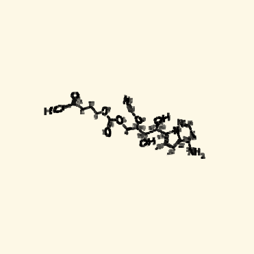 N#CO[C@H](COC(=O)OCCCC(=O)O)[C@@H](O)[C@@H](O)c1ccc2c(N)ncnn12